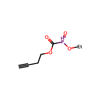 C#CCCOC(=O)[PH](=O)OCC